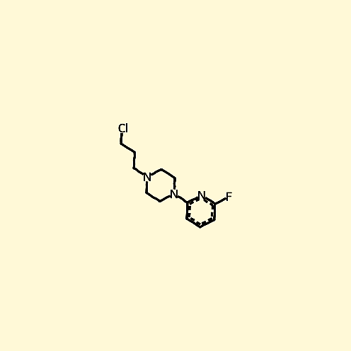 Fc1cccc(N2CCN(CCCCl)CC2)n1